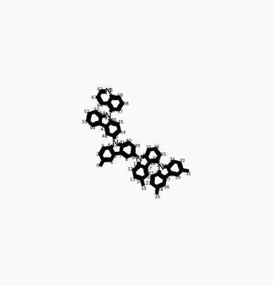 Cc1ccc2c(c1)c1cc(-n3c4ccc(C)cc4c4c(-n5c6ccc(C)cc6c6cc(C)ccc65)cccc43)ccc1n2-c1ccc2c(c1)c1ccccc1n2-c1cccc2ncccc12